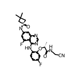 C[C@@H](Oc1cc(F)ccc1Nc1ncnc2cc(N=S3(=O)CC(C)(C)C3)cc(F)c12)C(=O)NCC#N